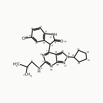 CC(C)CNc1nc(C2C(=O)Nc3ccc(Cl)cc32)c2cn(C3CCCC3)nc2n1